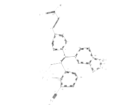 CCC(=C(c1ccc(C=CC(=O)O)cc1)c1ccc2[nH]ncc2c1)c1cccc(C#N)c1C